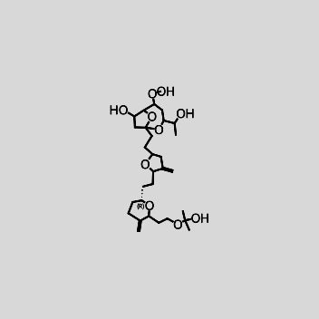 C=C1CC(CCC23CC(O)C(O2)C(OO)CC(C(C)O)O3)OC1CC[C@H]1CCC(=C)C(CCOC(C)(C)O)O1